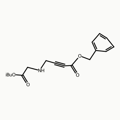 CC(C)COC(=O)CNCC#CC(=O)OCc1ccccc1